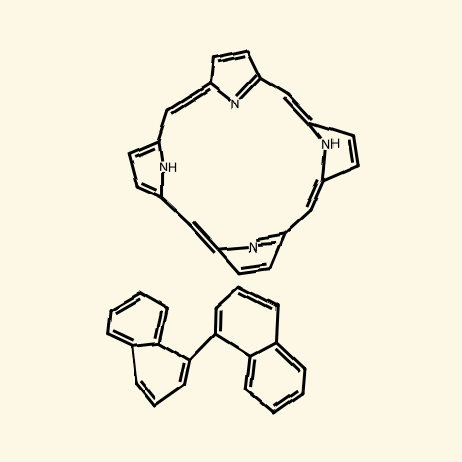 C1=Cc2cc3ccc(cc4nc(cc5ccc(cc1n2)[nH]5)C=C4)[nH]3.c1ccc2c(-c3cccc4ccccc34)cccc2c1